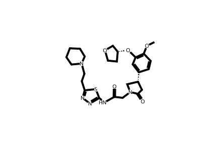 COc1ccc([C@@H]2CC(=O)N(CC(=O)Nc3nnc(CCN4CCCCC4)s3)C2)cc1O[C@@H]1CCOC1